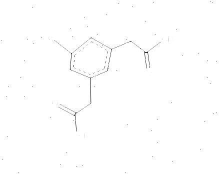 O=C(O)Cc1cc(Br)cc(CC(=O)O)c1